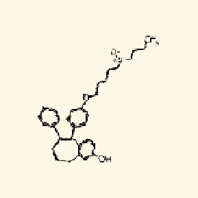 [O-][S@@+](CCCCCOc1ccc(C2=C(c3ccccc3)CCCc3cc(O)ccc32)cc1)CCCC(F)(F)F